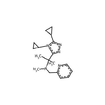 CN(Cc1ccccn1)C(C)(C)c1nnc(C2CC2)n1C1CC1